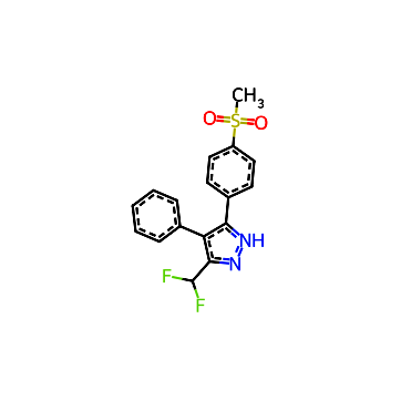 CS(=O)(=O)c1ccc(-c2[nH]nc(C(F)F)c2-c2ccccc2)cc1